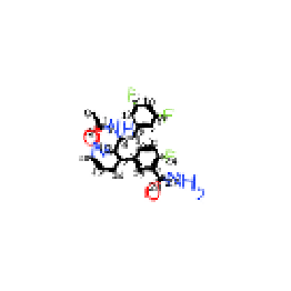 CC(=O)N[C@@H](Cc1cc(F)cc(F)c1)C1=NC=CCC1c1ccc(F)c(C(N)=O)c1